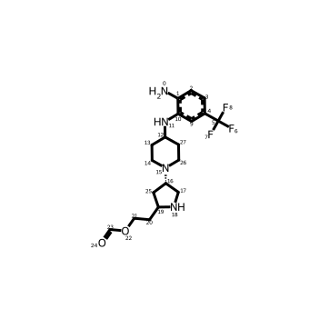 Nc1ccc(C(F)(F)F)cc1NC1CCN([C@@H]2CNC(CCOC=O)C2)CC1